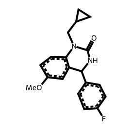 COc1ccc2c(c1)C(c1ccc(F)cc1)NC(=O)N2CC1CC1